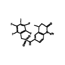 CCCN1C(=O)CC(C)c2cc(NS(=O)(=O)Cc3c(F)c(F)c(C)c(F)c3F)ccc21